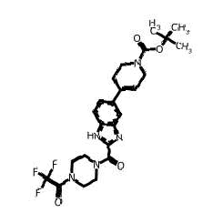 CC(C)(C)OC(=O)N1CC=C(c2ccc3[nH]c(C(=O)N4CCN(C(=O)C(F)(F)F)CC4)nc3c2)CC1